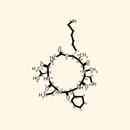 CC(C)CCCCCC[C@H]1OC(=O)CNC(=O)[C@H](C(C)O)NC(=O)[C@H](CN)NC(=O)[C@H](C2CCCCC2)NC(=O)[C@H](CC(C)C)N(C)C(=O)[C@@H]1C